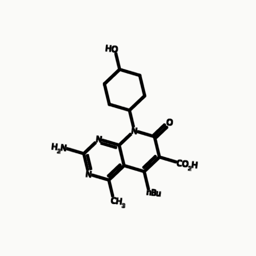 CCCCc1c(C(=O)O)c(=O)n(C2CCC(O)CC2)c2nc(N)nc(C)c12